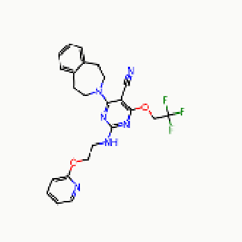 N#Cc1c(OCC(F)(F)F)nc(NCCOc2ccccn2)nc1N1CCc2ccccc2CC1